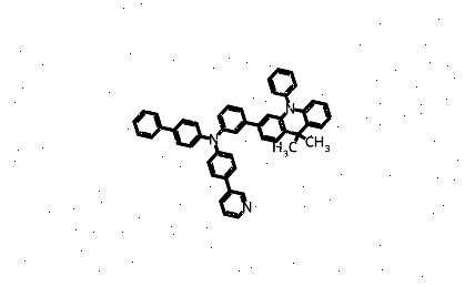 CC1(C)c2ccccc2N(c2ccccc2)c2cc(-c3cccc(N(c4ccc(-c5ccccc5)cc4)c4ccc(-c5cccnc5)cc4)c3)ccc21